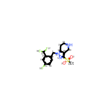 CCS(=O)(=O)c1nn(Cc2ccc(F)cc2C(F)F)c2c1CNCC2